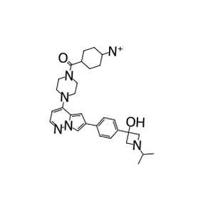 C#[N+]C1CCC(C(=O)N2CCN(c3ccnn4cc(-c5ccc(C6(O)CN(C(C)C)C6)cc5)cc34)CC2)CC1